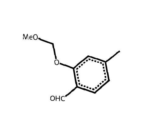 COCOc1cc(C)ccc1C=O